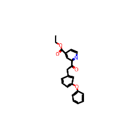 CCOC(=O)c1ccnc(C(=O)Cc2cccc(Oc3ccccc3)c2)c1